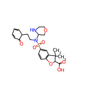 CC1(C)c2cc(S(=O)(=O)N(CCC3C=CC=CC3=O)C3COCCN3)ccc2OC1C(=O)O